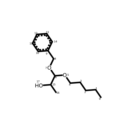 CCCCCOC(OCc1ccccc1)C(C)O